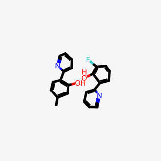 Cc1ccc(-c2ccccn2)c(O)c1.Oc1c(F)cccc1-c1ccccn1